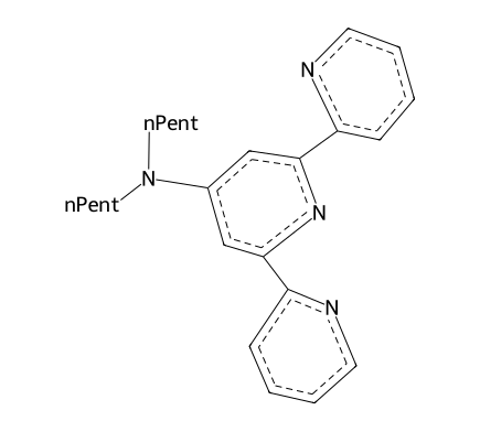 CCCCCN(CCCCC)c1cc(-c2ccccn2)nc(-c2ccccn2)c1